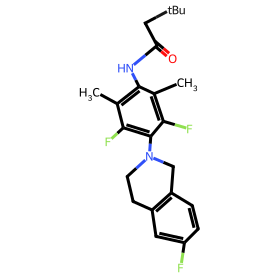 Cc1c(F)c(N2CCc3cc(F)ccc3C2)c(F)c(C)c1NC(=O)CC(C)(C)C